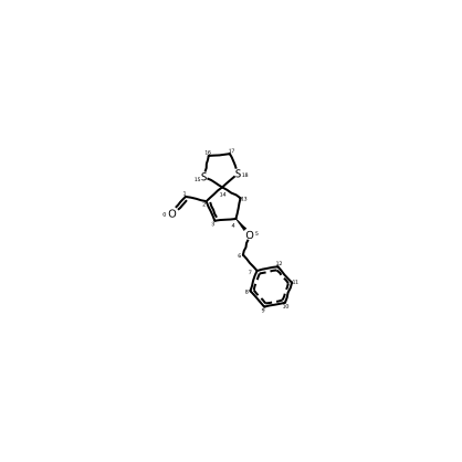 O=CC1=C[C@H](OCc2ccccc2)CC12SCCS2